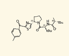 Cc1ccc(C(=O)c2nc([C@@H]3CCCN3C(=O)[C@@H](NC(=O)[C@H](C)C(C)(C)C)C(C)(C)C)cs2)cc1